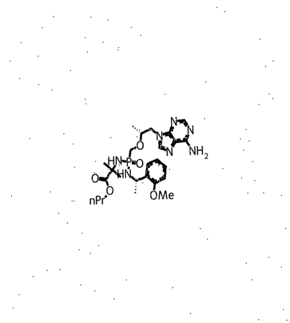 CCCOC(=O)C(C)(C)NP(=O)(CO[C@H](C)Cn1cnc2c(N)ncnc21)N[C@@H](C)c1ccccc1OC